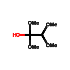 COC(OC)C(O)(OC)OC